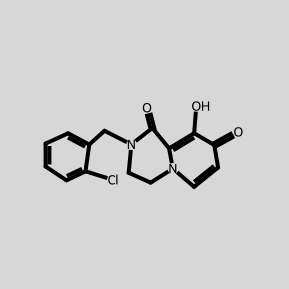 O=C1c2c(O)c(=O)ccn2CCN1Cc1ccccc1Cl